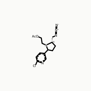 CC(=O)OCCN1C(c2ccc(Cl)nc2)CC[C@H]1CN=[N+]=[N-]